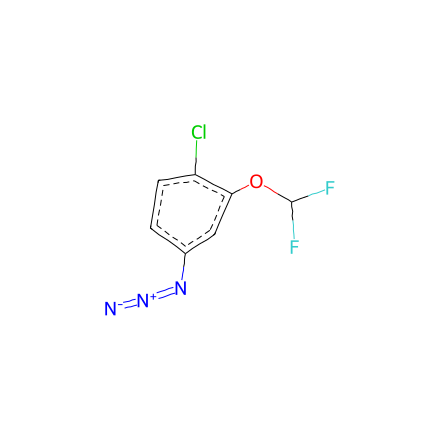 [N-]=[N+]=Nc1ccc(Cl)c(OC(F)F)c1